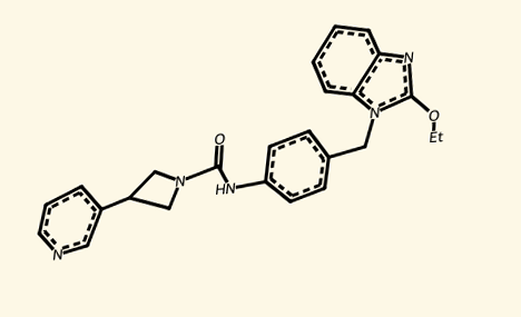 CCOc1nc2ccccc2n1Cc1ccc(NC(=O)N2CC(c3cccnc3)C2)cc1